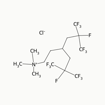 C[N+](C)(C)CCC(CC(F)(C(F)(F)F)C(F)(F)F)CC(F)(C(F)(F)F)C(F)(F)F.[Cl-]